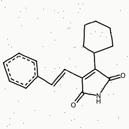 O=C1NC(=O)C(C2CCCCC2)=C1C=Cc1ccccc1